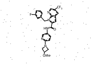 COC1CN(c2ccc(NC(=O)c3cc4cc(C(F)(F)F)cnc4n3Cc3cccc(F)c3)cn2)C1